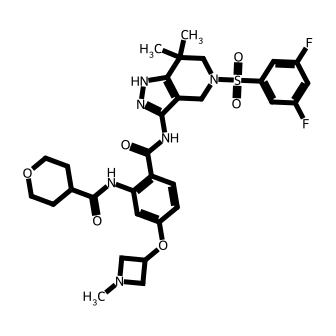 CN1CC(Oc2ccc(C(=O)Nc3n[nH]c4c3CN(S(=O)(=O)c3cc(F)cc(F)c3)CC4(C)C)c(NC(=O)C3CCOCC3)c2)C1